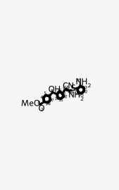 COC(=O)c1ccc(C(O)c2cccc(/C(C#N)=C(\N)Sc3ccccc3N)c2)cc1